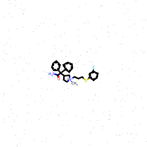 C[N@@+]1(CCCSc2cccc(F)c2)CCC(C(C(N)=O)(c2ccccc2)c2ccccc2)C1